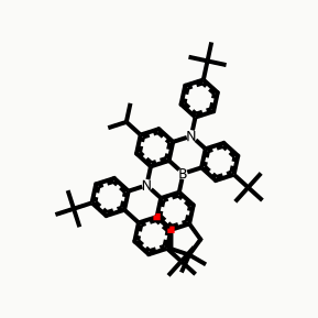 CC(C)c1cc2c3c(c1)N(c1ccc(C(C)(C)C)cc1-c1ccc(C(C)(C)C)cc1)c1cc4c(cc1B3c1cc(C(C)(C)C)ccc1N2c1ccc(C(C)(C)C)cc1)CC(C)(C)C4